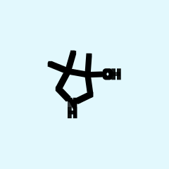 CC1(C)CNCC1(C)O